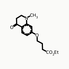 CCOC(=O)CCCOc1ccc2c(c1)N(C)CCC2=O